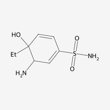 CCC1(O)C=CC(S(N)(=O)=O)=CC1N